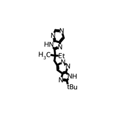 CCC(C)(Cc1cc2nc(C(C)(C)C)[nH]c2nn1)c1nc2cncnc2[nH]1